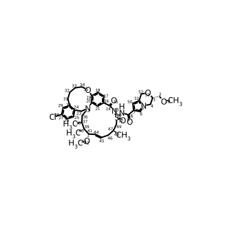 COC[C@@H]1Cn2cc(C(=O)NS3(=O)=NC(=O)c4ccc5c(c4)N(Cc4ccc(Cl)cc4CCCCO5)C[C@H](C)[C@@H](C)[C@@H](OC)/C=C/C[C@H](C)C3)cc2CO1